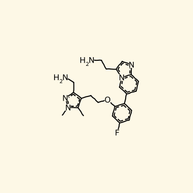 Cc1c(CCOc2cc(F)ccc2-c2ccc3ncc(CCN)n3c2)c(CN)nn1C